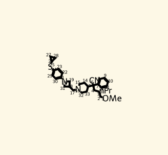 CCCC(COC)CC(C#N)(c1ccccc1)C1CCN(CC2CN(c3ccc(SC4CC4)cc3)C2)CC1